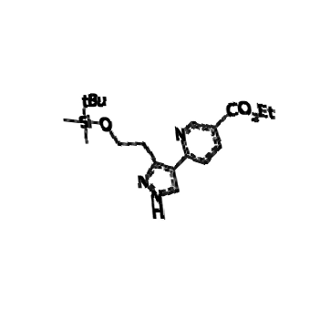 CCOC(=O)c1ccc(-c2c[nH]nc2CCO[Si](C)(C)C(C)(C)C)nc1